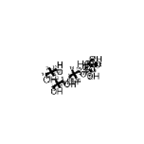 CC(C)(CO)CO.CC(C)(CO)CO.CC(C)(CO)COP(=O)(O)OP(=O)(O)O